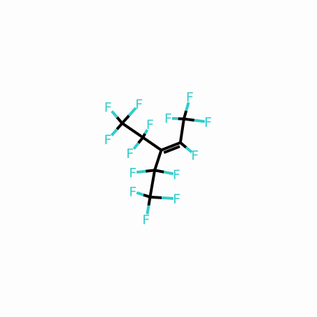 FC(=C(C(F)(F)C(F)(F)F)C(F)(F)C(F)(F)F)C(F)(F)F